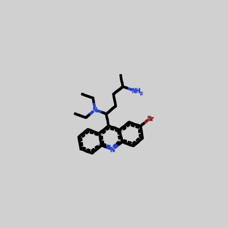 CCN(CC)C(CCC(C)N)c1c2ccccc2nc2ccc(Br)cc12